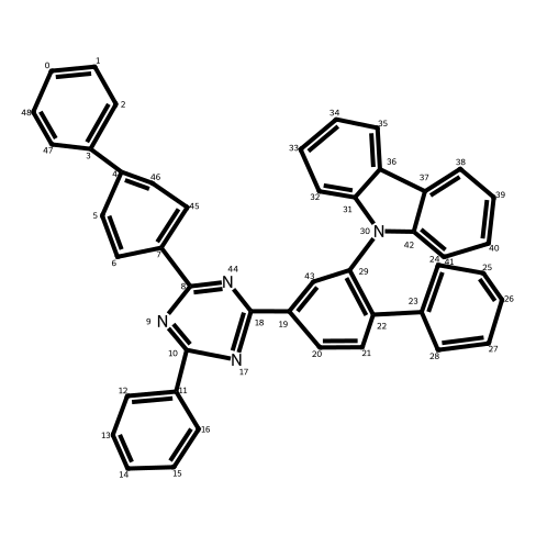 c1ccc(-c2ccc(-c3nc(-c4ccccc4)nc(-c4ccc(-c5ccccc5)c(-n5c6ccccc6c6ccccc65)c4)n3)cc2)cc1